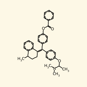 CC1CCC(=C(c2ccc(OC(=O)c3ccccc3)cc2)c2ccc(OC(C)N(C)C)cc2)c2ccccc21